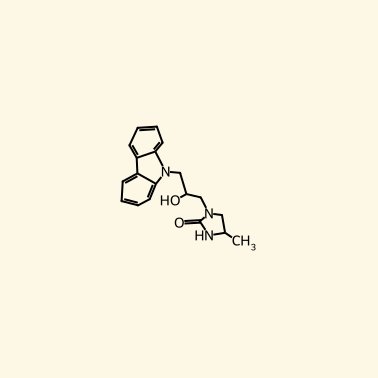 CC1CN(CC(O)Cn2c3ccccc3c3ccccc32)C(=O)N1